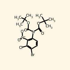 CC(C)(C)OC(=O)N(C(=O)OC(C)(C)C)c1ccc(Br)c(Cl)c1[N+](=O)[O-]